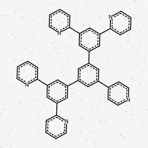 c1ccc(-c2cc(-c3cc(-c4ccncc4)cc(-c4cc(-c5ccccn5)cc(-c5ccccn5)c4)c3)cc(-c3ccccn3)c2)nc1